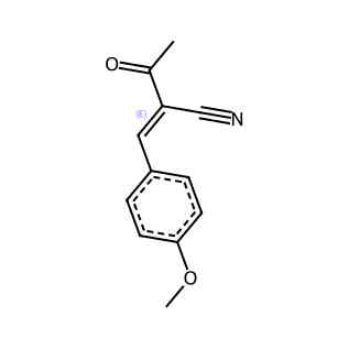 COc1ccc(/C=C(\C#N)C(C)=O)cc1